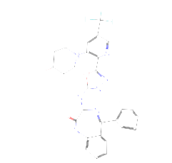 CN1N=C(c2ncc(C(F)(F)F)cc2N2CCC(O)CC2)OC1N[C@H]1N=C(c2ccccc2)c2ccccc2NC1=O